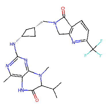 Cc1nc(N[C@H]2C[C@@H](CN3Cc4nc(C(F)(F)F)ccc4C3=O)C2)nc2c1NC(=O)C(C(C)C)N2C